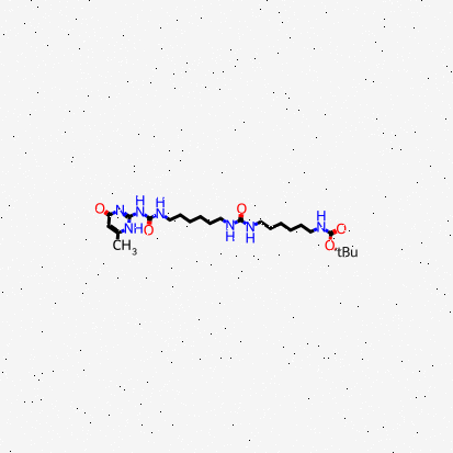 Cc1cc(=O)nc(NC(=O)NCCCCCCNC(=O)NCCCCCCNC(=O)OC(C)(C)C)[nH]1